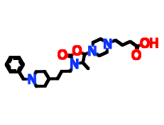 CC1C(N2CCN(CCCC(=O)O)CC2)OC(=O)N1CCCC1CCN(Cc2ccccc2)CC1